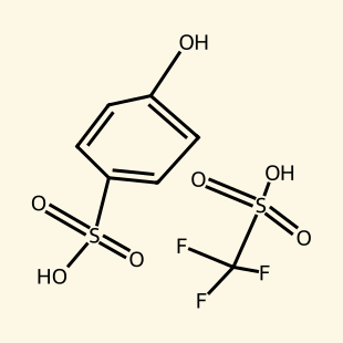 O=S(=O)(O)C(F)(F)F.O=S(=O)(O)c1ccc(O)cc1